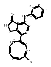 O=C1NCc2c(-c3cnc(I)cccc[nH]3)ncc(Nc3ccccn3)c21